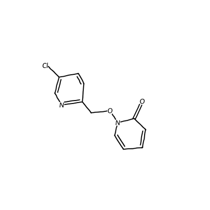 O=c1ccccn1OCc1ccc(Cl)cn1